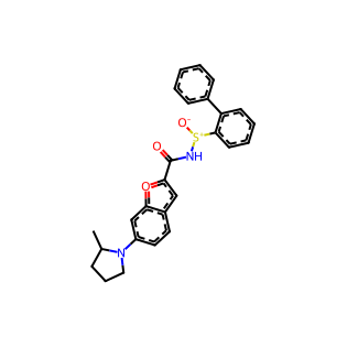 CC1CCCN1c1ccc2cc(C(=O)N[S+]([O-])c3ccccc3-c3ccccc3)oc2c1